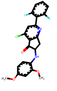 COc1ccc(NC2Cc3nc(-c4c(F)cccc4F)cc(Cl)c3C2=O)c(OC)c1